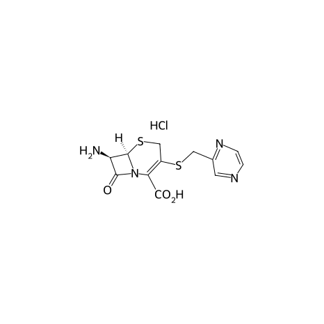 Cl.N[C@@H]1C(=O)N2C(C(=O)O)=C(SCc3cnccn3)CS[C@H]12